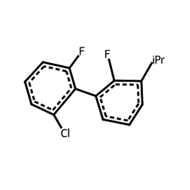 CC(C)c1cccc(-c2c(F)cccc2Cl)c1F